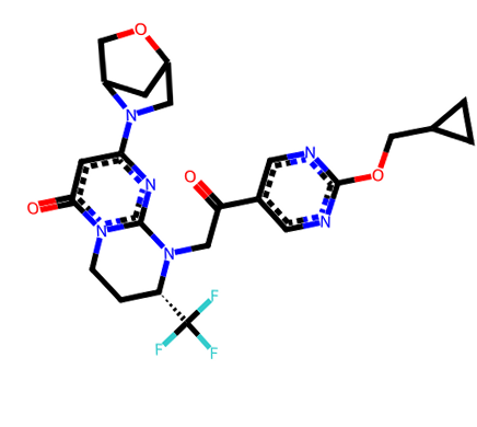 O=C(CN1c2nc(N3CC4CC3CO4)cc(=O)n2CC[C@H]1C(F)(F)F)c1cnc(OCC2CC2)nc1